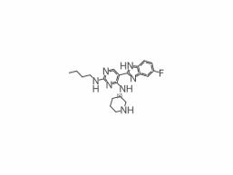 CCCCNc1ncc(-c2nc3cc(F)ccc3[nH]2)c(N[C@H]2CCCNC2)n1